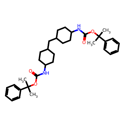 CC(C)(OC(=O)NC1CCC(CC2CCC(NC(=O)OC(C)(C)c3ccccc3)CC2)CC1)c1ccccc1